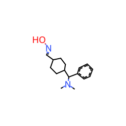 CN(C)C(c1ccccc1)C1CCC(C=NO)CC1